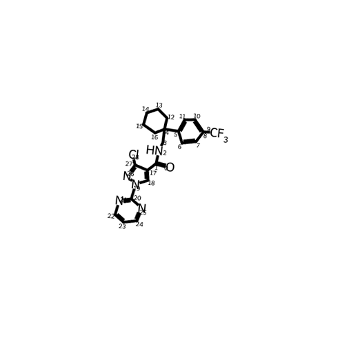 O=C(NCC1(c2ccc(C(F)(F)F)cc2)CCCCC1)c1cn(-c2ncccn2)nc1Cl